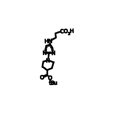 CC(C)(C)OC(=O)C1CCN(c2ncc(NCCC(=O)O)cn2)CC1